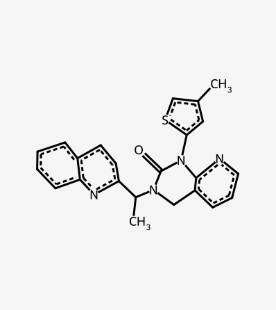 Cc1csc(N2C(=O)N(C(C)c3ccc4ccccc4n3)Cc3cccnc32)c1